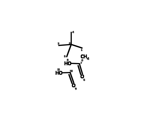 C.CC(C)(C)C.O=CO.O=CO